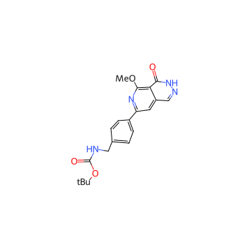 COc1nc(-c2ccc(CNC(=O)OC(C)(C)C)cc2)cc2cn[nH]c(=O)c12